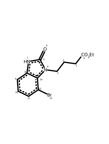 CCOC(=O)CCCn1c(=O)[nH]c2cccc(Br)c21